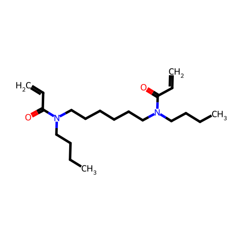 C=CC(=O)N(CCCC)CCCCCCN(CCCC)C(=O)C=C